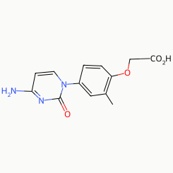 Cc1cc(-n2ccc(N)nc2=O)ccc1OCC(=O)O